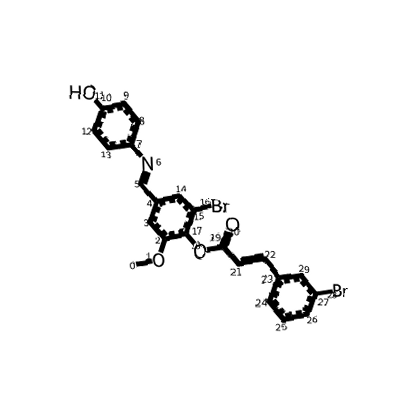 COc1cc(/C=N/c2ccc(O)cc2)cc(Br)c1OC(=O)/C=C/c1cccc(Br)c1